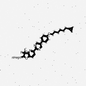 CCCCCCCC1Oc2ccc(-c3ncc(-c4ccc(OCCCCCCC5CC5)cc4)cn3)nc2C1(F)F